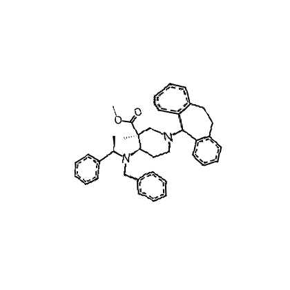 COC(=O)[C@@]1(C)CN(C2c3ccccc3CCc3ccccc32)CC[C@H]1N(Cc1ccccc1)[C@H](C)c1ccccc1